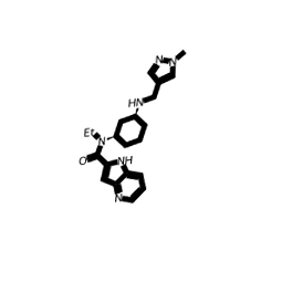 CCN(C(=O)c1cc2ncccc2[nH]1)[C@H]1CCC[C@@H](NCc2cnn(C)c2)C1